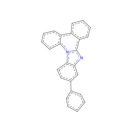 c1ccc(-c2ccc3c(c2)nc2c4ccccc4c4ccccc4n32)cc1